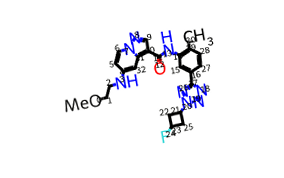 COCCNc1ccn2ncc(C(=O)Nc3cc(-c4nnn(C5CC(F)C5)n4)ccc3C)c2c1